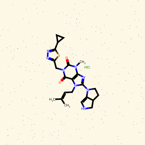 CC(C)=CCn1c(N2CCC3CNC=C32)nc2c1c(=O)n(Cc1nnc(C3CC3)s1)c(=O)n2C.Cl